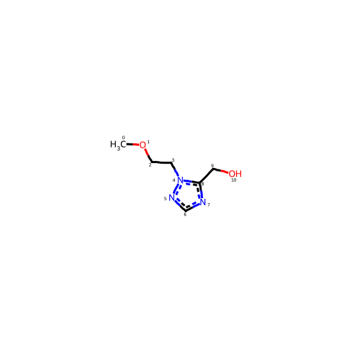 COCCn1ncnc1CO